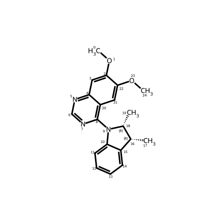 COc1cc2ncnc(N3c4ccccc4[C@@H](C)[C@H]3C)c2cc1OC